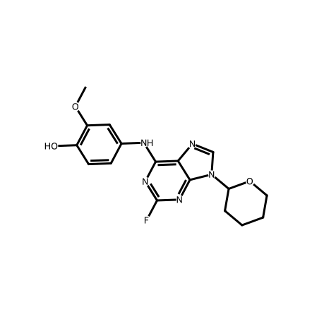 COc1cc(Nc2nc(F)nc3c2ncn3C2CCCCO2)ccc1O